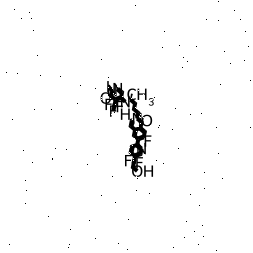 C[C@@H](CCCn1ccc2cc(-c3ccc(C(F)(F)CO)cn3)c(F)cc2c1=O)Nc1cnn(I)c(=O)c1C(F)(F)F